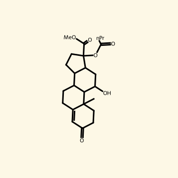 CCCC(=O)OC1(C(=O)OC)CCC2C3CCC4=CC(=O)CCC4(C)C3C(O)CC21